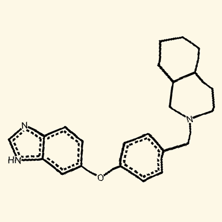 c1nc2ccc(Oc3ccc(CN4CCC5CCCCC5C4)cc3)cc2[nH]1